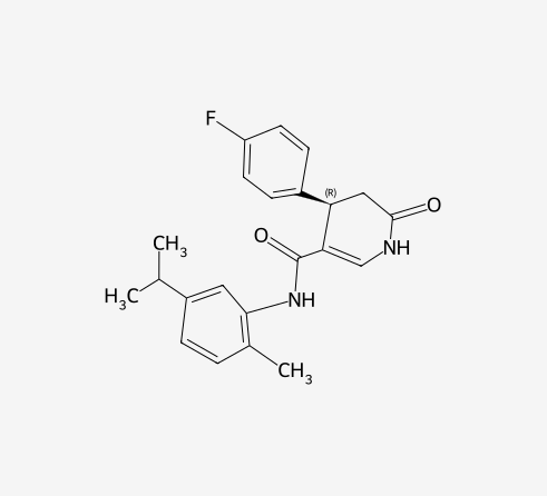 Cc1ccc(C(C)C)cc1NC(=O)C1=CNC(=O)C[C@@H]1c1ccc(F)cc1